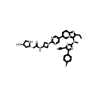 CCc1nc2ccc(-c3cnc(N4CC(NC(=O)C[C@@H]5C[C@@H](O)CN5)C4)nc3)cn2c1N(C)c1nc(-c2ccc(F)cc2)c(C#N)s1